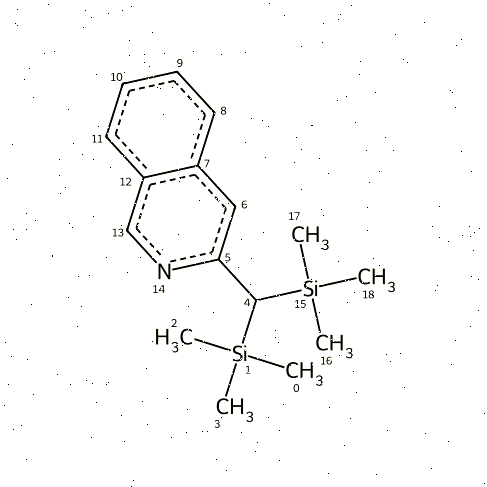 C[Si](C)(C)C(c1cc2ccccc2cn1)[Si](C)(C)C